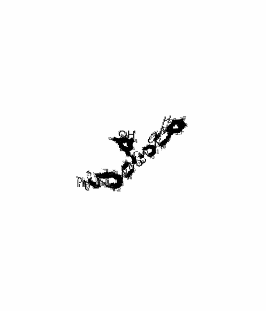 Cc1cc(C[C@@H](OC(=O)N2CCC(N3CCc4ccccc4NC3=O)CC2)C(=O)N2CCN(C3CCN(CC(=O)OC(C)C)CC3)CC2)cc(C)c1O